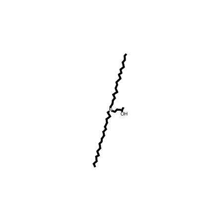 CCCCCCCCCCCCCCCCCCN(CCCCCCCCCCCCCCCCCC)CCC(C)O